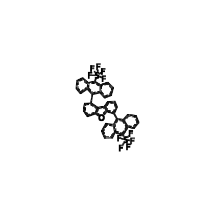 FS(F)(F)(F)(F)c1c2ccccc2c(-c2cccc3c2oc2cccc(-c4c5ccccc5c(S(F)(F)(F)(F)F)c5ccccc45)c23)c2ccccc12